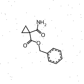 NC(=O)C1(C(=O)OCc2ccccc2)CC1